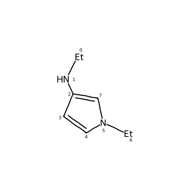 CCNc1ccn(CC)c1